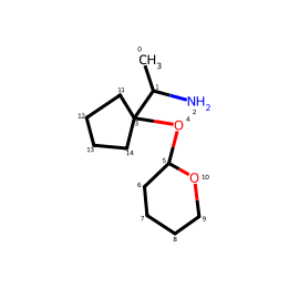 CC(N)C1(OC2CCCCO2)CCCC1